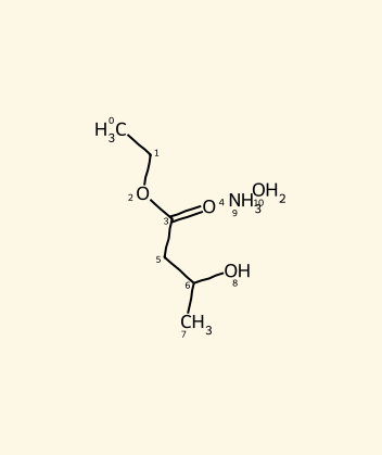 CCOC(=O)CC(C)O.N.O